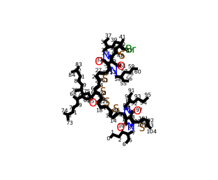 CCCCC(CC)CN1C(=O)C2=C(c3ccc(-c4cc5c(s4)-c4sc(-c6ccc(C7=C8C(=O)N(CC(CC)CCCC)C(c9ccc(Br)s9)=C8C(=O)N7CC(CC)CCCC)s6)cc4C(CCC(C)CCCC(C)C)(CCC(C)CCCC(C)C)O5)s3)N(CC(CC)CCCC)C(=O)C2=C1c1ccc(C)s1